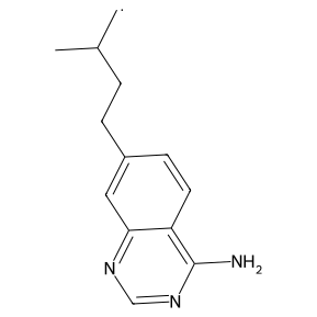 [CH2]C(C)CCc1ccc2c(N)ncnc2c1